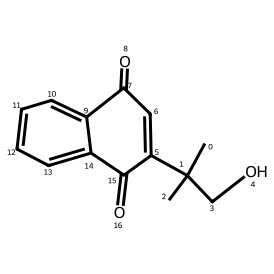 CC(C)(CO)C1=CC(=O)c2ccccc2C1=O